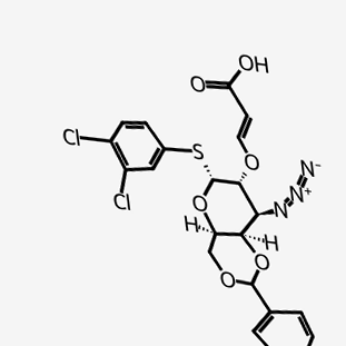 [N-]=[N+]=N[C@@H]1[C@@H](O/C=C/C(=O)O)[C@@H](Sc2ccc(Cl)c(Cl)c2)O[C@@H]2COC(c3ccccc3)O[C@H]12